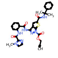 C#CCOC(=O)n1nc(NC(=O)c2ccccc2NC(=O)c2nccn2C)c2cc(C(=O)NC(C)(C)c3ccccc3)sc21